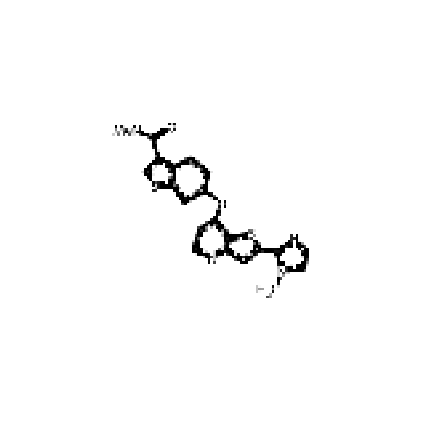 CNC(=O)c1csc2cc(Oc3ccnc4cc(-c5nccn5C)sc34)ccc12